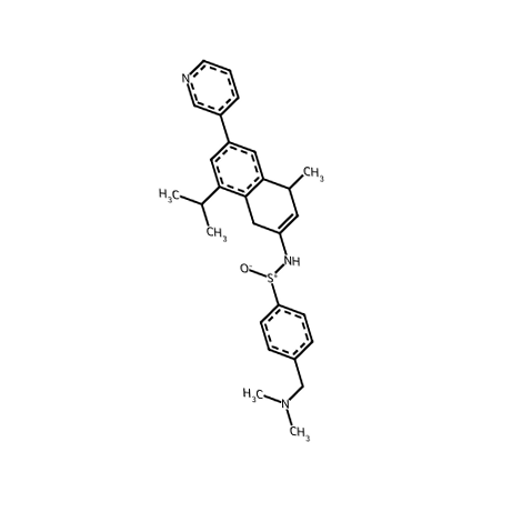 CC(C)c1cc(-c2cccnc2)cc2c1CC(N[S+]([O-])c1ccc(CN(C)C)cc1)=CC2C